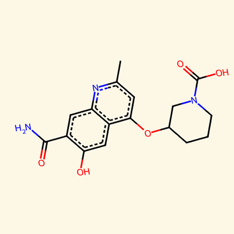 Cc1cc(OC2CCCN(C(=O)O)C2)c2cc(O)c(C(N)=O)cc2n1